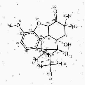 [2H]C1([2H])C[C@]2(O)[C@@]34CCN(C([2H])([2H])[2H])[C@]2([2H])C([2H])([2H])c2ccc(OC)c(c23)OC4C1=O